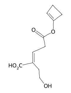 O=C(CC=C(CCO)C(=O)O)OC1=CCC1